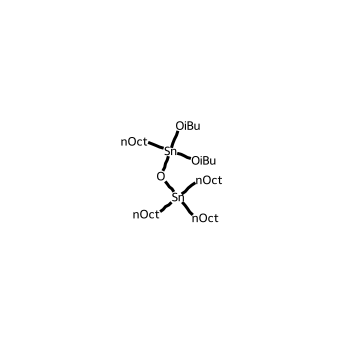 CCCCCCC[CH2][Sn]([CH2]CCCCCCC)([CH2]CCCCCCC)[O][Sn]([CH2]CCCCCCC)([O]CC(C)C)[O]CC(C)C